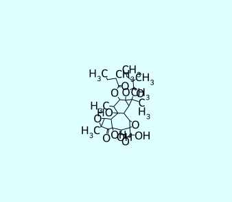 CCC(C)C(=O)OC1C(C)C2(O)C(C3OC3(C(=O)O)C(O)C3(O)C(=O)C4(C)OC4C32)C2C(C)(C)C12OC(=O)C(C)CC